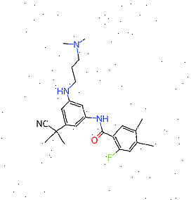 Cc1cc(F)c(C(=O)Nc2cc(NCCCN(C)C)cc(C(C)(C)C#N)c2)cc1C